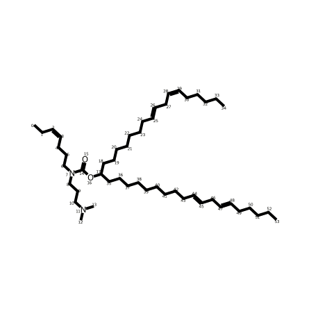 CC/C=C\CCCN(CCCN(C)C)C(=O)OC(CCCCCCCC=CC/C=C\CCCCC)CCCCCCCCCC=CCC=CCCCCC